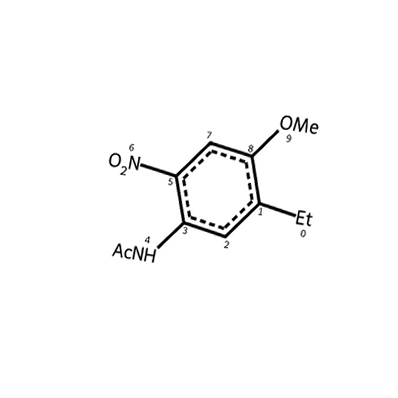 CCc1cc(NC(C)=O)c([N+](=O)[O-])cc1OC